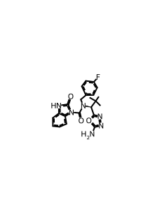 CC(C)(C)[C@@H](c1nnc(N)o1)N(Cc1ccc(F)cc1)C(=O)n1c(=O)[nH]c2ccccc21